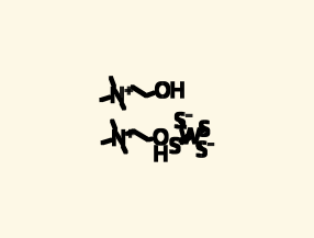 C[N+](C)(C)CCO.C[N+](C)(C)CCO.[S]=[W](=[S])([S-])[S-]